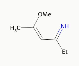 CCC(=N)/C=C(/C)OC